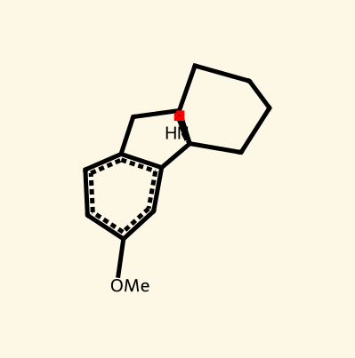 COc1ccc2c(c1)C13CCCCC1(CCCN3)C2